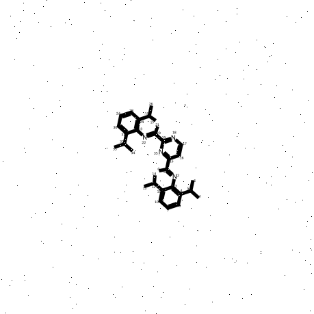 CC(=Nc1c(C(C)C)cccc1C(C)C)c1ccnc(C(C)=Nc2c(C(C)C)cccc2C(C)C)n1